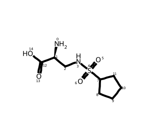 N[C@@H](CNS(=O)(=O)C1CCCC1)C(=O)O